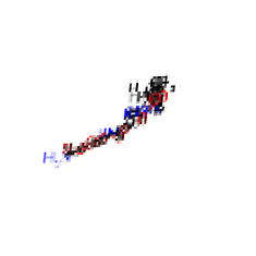 CC1(C)[C@H]2CC3OB(C4CCCN4C(=O)CNC(=O)c4ccnc5cc(OCC(=O)NCCOCCOCCOCCC(N)=O)ccc45)O[C@@]3(C)[C@@H]1C2